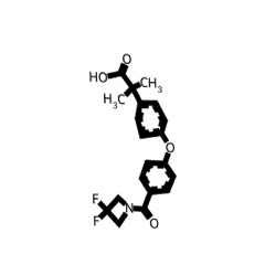 CC(C)(C(=O)O)c1ccc(Oc2ccc(C(=O)N3CC(F)(F)C3)cc2)cc1